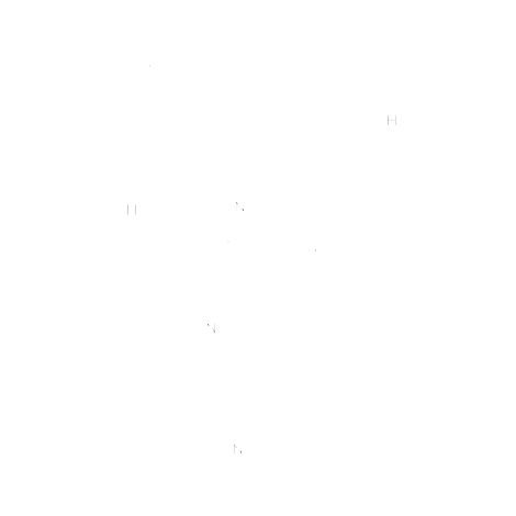 Cc1cc(C)c2c(c1)c1cc(C)cc(C)c1n2B1c2ccccc2-n2c3ccncc3c3cccc1c32